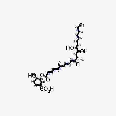 CC(/C=C/C=C/C(=O)O[C@@H]1C[C@@H](C(=O)O)CC[C@@H]1O)=C\C=C\C=C(/Cl)[C@@H](C)C[C@H](O)[C@H](O)CC/C=C/C=C/C(C)C